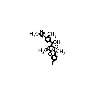 Cc1cn(-c2ccc(C(O)c3cn(C)c(=O)n(C(C)c4ccc(F)cc4)c3=O)cc2C)cn1